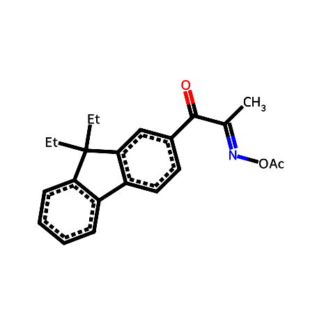 CCC1(CC)c2ccccc2-c2ccc(C(=O)C(C)=NOC(C)=O)cc21